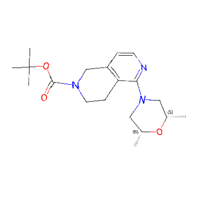 C[C@@H]1CN(c2nccc3c2CCN(C(=O)OC(C)(C)C)C3)C[C@H](C)O1